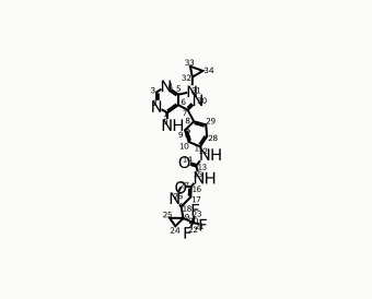 Nc1ncnc2c1c(-c1ccc(NC(=O)Nc3cc(C4(C(F)(F)F)CC4)no3)cc1)nn2C1CC1